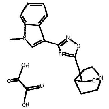 Cn1cc(-c2noc(C3CN4CCC3CC4)n2)c2ccccc21.O=C(O)C(=O)O